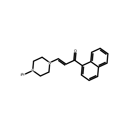 CC(C)N1CCN(C=CC(=O)c2cccc3ccccc23)CC1